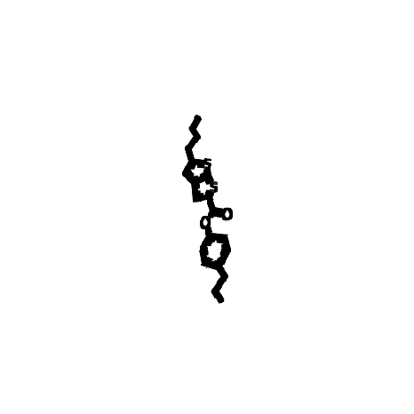 CCCCc1cc2cc(C(=O)Oc3ccc(CCC)cc3)sc2s1